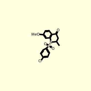 COc1ccc2c(c1)N(S(=O)(=O)c1ccc(Cl)cc1)C(C)CC2=O